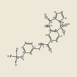 O=C(NCc1cccc(OC(F)(F)F)c1)c1ccc2c(c1)NC(=O)c1cccn1S2(=O)=O